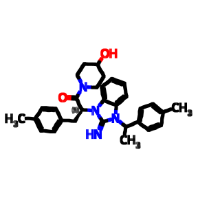 Cc1ccc(C[C@@H](C(=O)N2CCC(O)CC2)n2c(=N)n(C(C)c3ccc(C)cc3)c3ccccc32)cc1